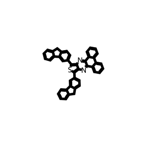 c1ccc2c(c1)Cc1ccc(-c3sc(-c4ccc5c(c4)-c4ccccc4C5)c4nc5c6ccccc6c6ccccc6c5nc34)cc1-2